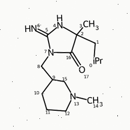 CC(C)CC1(C)NC(=N)N(CC2CCCN(C)C2)C1=O